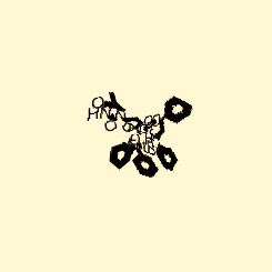 Cc1cn([C@H]2C[C@H](O[PH]3(O)O[C@@H](c4ccccc4)C[C@H](c4ccccc4)S3)[C@@H](CO[Si](c3ccccc3)(c3ccccc3)C(C)(C)C)O2)c(=O)[nH]c1=O